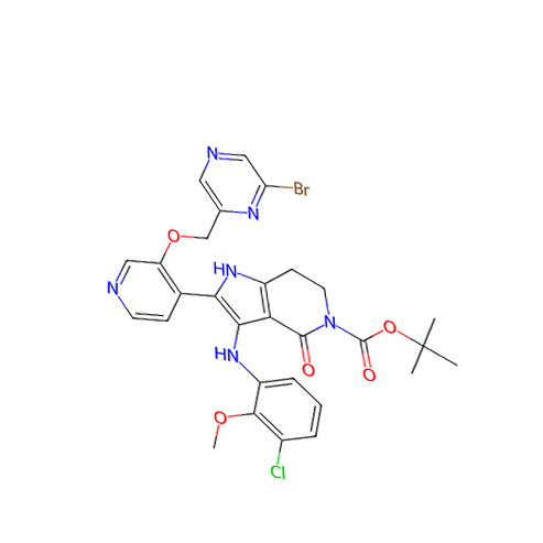 COc1c(Cl)cccc1Nc1c(-c2ccncc2OCc2cncc(Br)n2)[nH]c2c1C(=O)N(C(=O)OC(C)(C)C)CC2